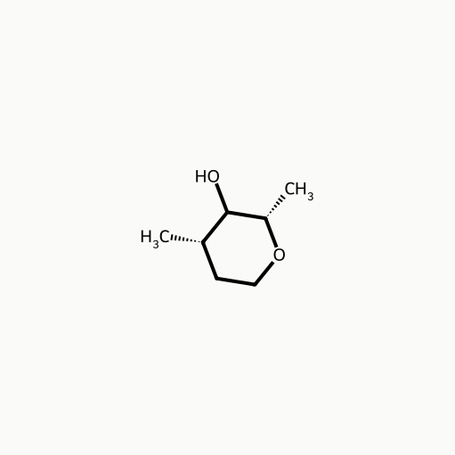 C[C@@H]1OCC[C@H](C)C1O